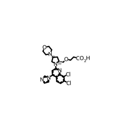 O=C(O)CCOC[C@@H]1C[C@@H](N2CCOCC2)CN1c1cc(-n2ccnc2)c2ccc(Cl)c(Cl)c2n1